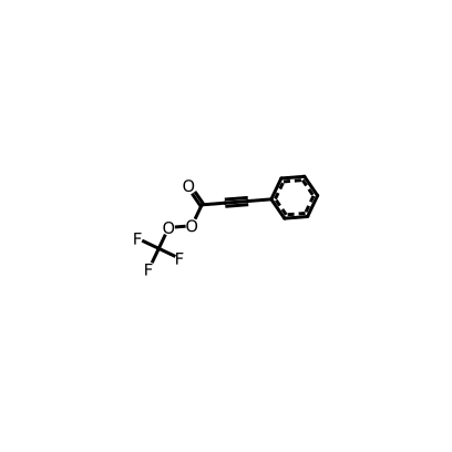 O=C(C#Cc1ccccc1)OOC(F)(F)F